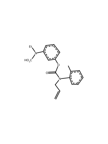 C=CCN(C(=O)Oc1cccc(N(CC)C(=O)O)c1)c1ccccc1C